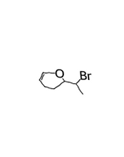 CC(Br)C1CCC=CO1